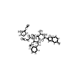 CC(C)C(NC(=O)c1cc2cc(F)ccc2o1)C(=C=O)NC(Cc1ccccc1)C(=C=O)NC(C=C=O)C[C@@H]1CCNC1=C=O